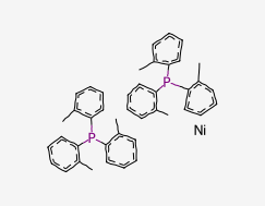 Cc1ccccc1P(c1ccccc1C)c1ccccc1C.Cc1ccccc1P(c1ccccc1C)c1ccccc1C.[Ni]